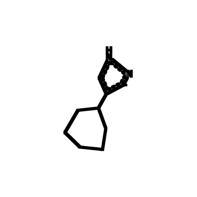 [c]1n[nH]cc1C1CCCCC1